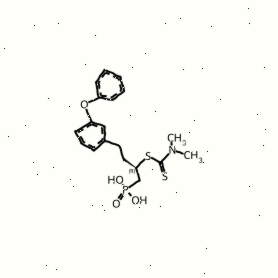 CN(C)C(=S)S[C@H](CCc1cccc(Oc2ccccc2)c1)CP(=O)(O)O